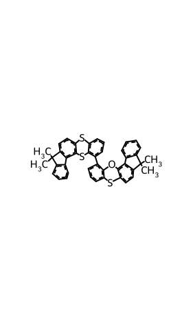 CC1(C)c2ccccc2-c2c1ccc1c2Oc2c(cccc2-c2cccc3c2Sc2c(ccc4c2-c2ccccc2C4(C)C)S3)S1